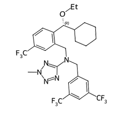 CCO[C@@H](c1ccc(C(F)(F)F)cc1CN(Cc1cc(C(F)(F)F)cc(C(F)(F)F)c1)c1nnn(C)n1)C1CCCCC1